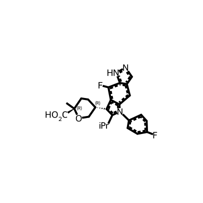 CC(C)c1c([C@H]2CC[C@](C)(C(=O)O)OC2)c2c(F)c3[nH]ncc3cc2n1-c1ccc(F)cc1